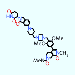 CNC(=O)N1CCc2c(-c3cc(OC)c(CN4CCN(CC5CCN(c6ccc7c(c6)C(=O)N(C6CCC(=O)NC6=O)C7)CC5)CC4)c(OC)c3)cn(C)c(=O)c2C1